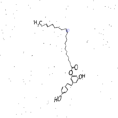 CCCCCCCC/C=C\CCCCCCCCCCCC(=O)Oc1cc(O)cc(C=Cc2ccc(O)cc2)c1